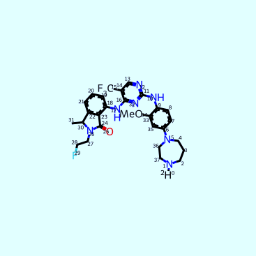 [2H]N1CCCN(c2ccc(Nc3ncc(C(F)(F)F)c(Nc4cccc5c4C(=O)N(CCF)C5C)n3)c(OC)c2)CC1